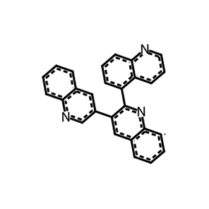 [c]1cccc2cc(-c3cnc4ccccc4c3)c(-c3cccc4ncccc34)nc12